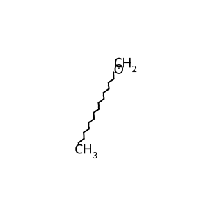 [CH2]OCCCCCCCCCCCCCCCC